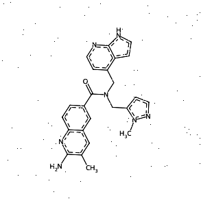 Cc1cc2cc(C(=O)N(Cc3ccnc4[nH]ccc34)Cc3ccnn3C)ccc2nc1N